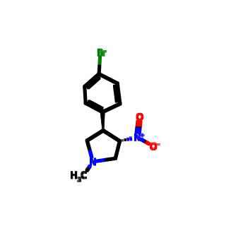 CN1C[C@@H]([N+](=O)[O-])[C@H](c2ccc(Br)cc2)C1